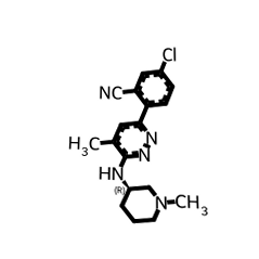 Cc1cc(-c2ccc(Cl)cc2C#N)nnc1N[C@@H]1CCCN(C)C1